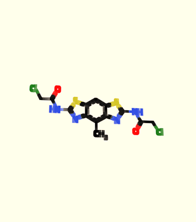 Cc1c2nc(NC(=O)CCl)sc2cc2sc(NC(=O)CCl)nc12